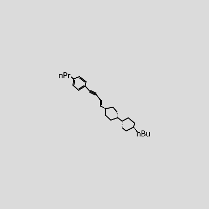 CCCC[C@H]1CC[C@H]([C@H]2CC[C@H](C=CC#Cc3ccc(CCC)cc3)CC2)CC1